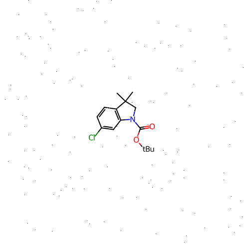 CC(C)(C)OC(=O)N1CC(C)(C)c2ccc(Cl)cc21